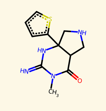 CN1C(=N)NC2(c3cccs3)CNCC2C1=O